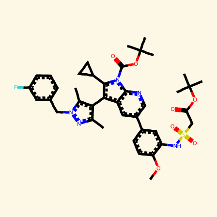 COc1ccc(-c2cnc3c(c2)c(-c2c(C)nn(Cc4cccc(F)c4)c2C)c(C2CC2)n3C(=O)OC(C)(C)C)cc1NS(=O)(=O)CC(=O)OC(C)(C)C